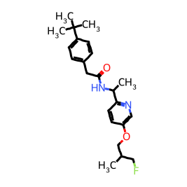 CC(CF)COc1ccc(C(C)NC(=O)Cc2ccc(C(C)(C)C)cc2)nc1